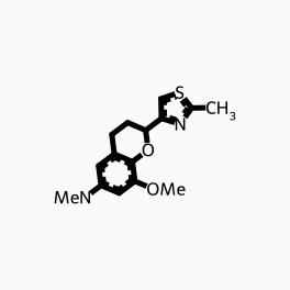 CNc1cc2c(c(OC)c1)OC(c1csc(C)n1)CC2